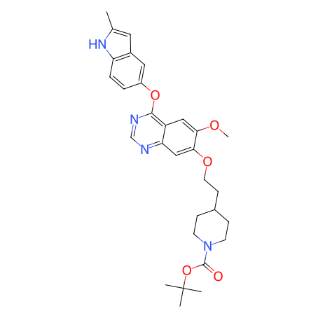 COc1cc2c(Oc3ccc4[nH]c(C)cc4c3)ncnc2cc1OCCC1CCN(C(=O)OC(C)(C)C)CC1